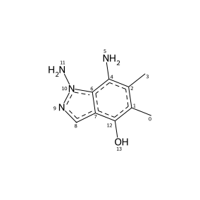 Cc1c(C)c(N)c2c(cnn2N)c1O